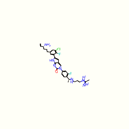 C=C[C@H](N)CCCc1cc(Cl)c(F)c(-c2cc3cn(-c4ccc([C@H](C)NCCCNC(C)=N)c(F)c4)c(=O)nc3[nH]2)c1